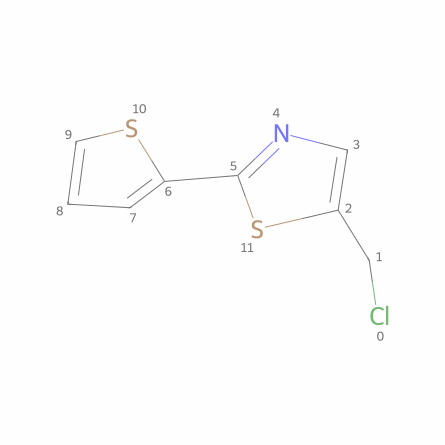 ClCc1cnc(-c2cccs2)s1